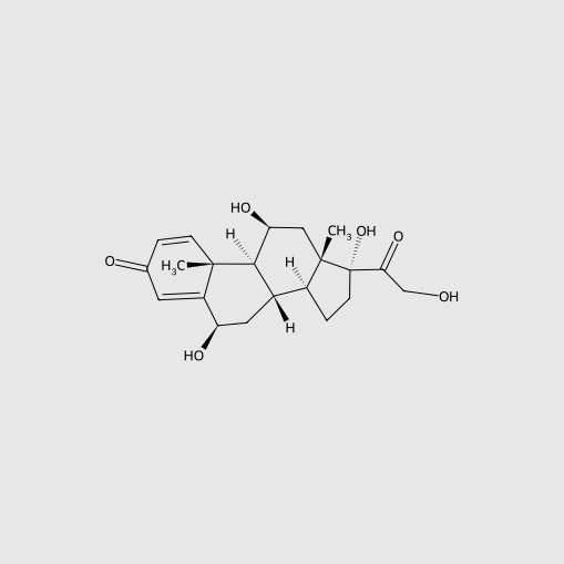 C[C@]12C=CC(=O)C=C1[C@H](O)C[C@@H]1[C@@H]2[C@@H](O)C[C@@]2(C)[C@H]1CC[C@]2(O)C(=O)CO